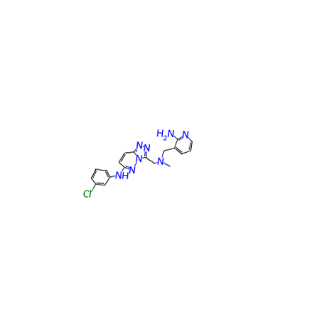 CN(Cc1cccnc1N)Cc1nnc2ccc(Nc3cccc(Cl)c3)nn12